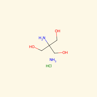 Cl.N.NC(CO)(CO)CO